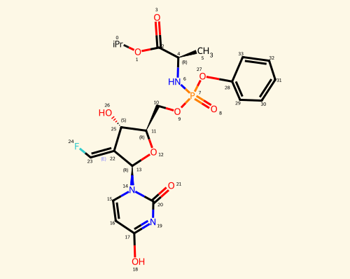 CC(C)OC(=O)[C@@H](C)NP(=O)(OC[C@H]1O[C@@H](n2ccc(O)nc2=O)/C(=C/F)[C@@H]1O)Oc1ccccc1